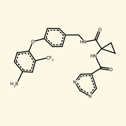 Bc1ccc(Oc2ccc(CNC(=O)C3(NC(=O)c4cncnc4)CC3)cc2)c(C(F)(F)F)c1